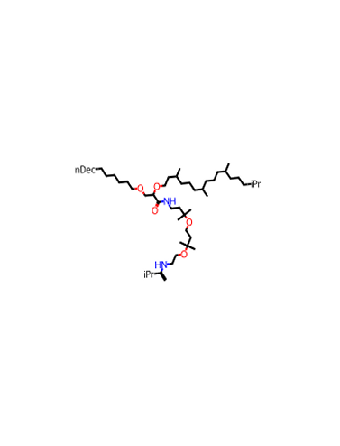 C=C(NCCOC(C)(C)CCOC(C)(C)CCNC(=O)C(COCCCCCCCCCCCCCCCC)OCCC(C)CCCC(C)CCCC(C)CCCC(C)C)C(C)C